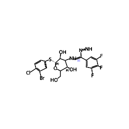 N=N/C(=C\NC1C(O)[C@@H](Sc2ccc(Cl)c(Br)c2)OC(CO)[C@@H]1O)c1cc(F)c(F)c(F)c1